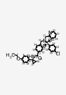 CCOc1ccc(C2(NC(=O)c3ccc(CN(Cc4ccccn4)S(=O)(=O)c4ccc(Cl)cc4)cc3)CC2)cc1